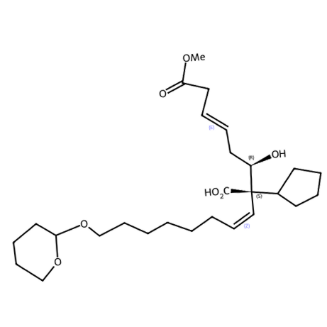 COC(=O)C/C=C/C[C@@H](O)[C@](/C=C\CCCCCCOC1CCCCO1)(C(=O)O)C1CCCC1